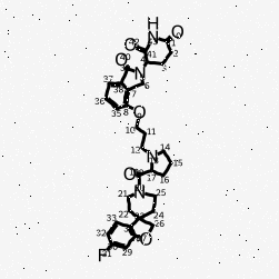 O=C1CCC(N2Cc3c(OCCCN4CCCC4C(=O)N4CCC5(CC4)COc4cc(F)ccc45)cccc3C2=O)C(=O)N1